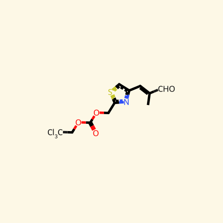 C/C(C=O)=C\c1csc(COC(=O)OCC(Cl)(Cl)Cl)n1